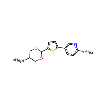 CCCCCCCC1COC(c2ccc(-c3ccc(CCCCCC)nc3)s2)OC1